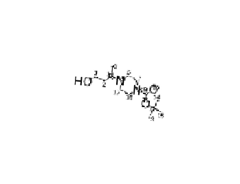 C[C@H](CCO)N1CCN(C(=O)OC(C)(C)C)CC1